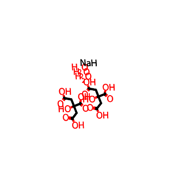 O.O.O.O=C(O)CC(O)(CC(=O)O)C(=O)O.O=C(O)CC(O)(CC(=O)O)C(=O)O.[NaH]